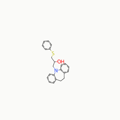 OC(CSc1ccccc1)CN1c2ccccc2CCc2ccccc21